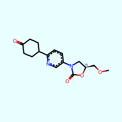 COC[C@@H]1CN(c2ccc(C3CCC(=O)CC3)nc2)C(=O)O1